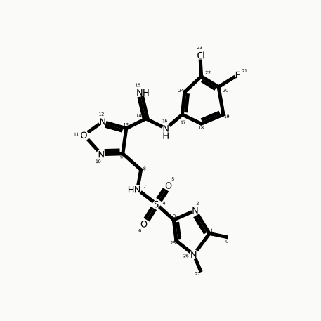 Cc1nc(S(=O)(=O)NCc2nonc2C(=N)Nc2ccc(F)c(Cl)c2)cn1C